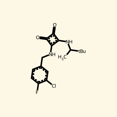 CC(Nc1c(NCc2ccc(F)c(Cl)c2)c(=O)c1=O)C(C)(C)C